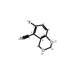 N#Cc1c(F)ccc2c1COCO2